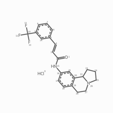 Cl.O=C(C=Cc1cccc(C(F)(F)F)c1)Nc1ccc2c(c1)C1CCCN1CC2